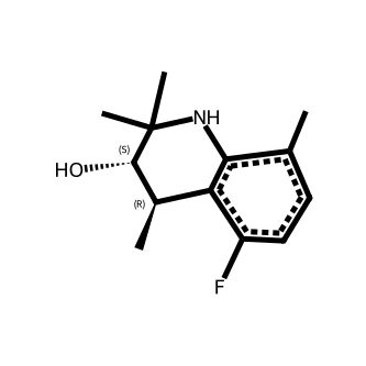 Cc1ccc(F)c2c1NC(C)(C)[C@@H](O)[C@@H]2C